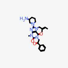 C/C=C(\C)Cn1c(N2CCCC(N)C2)nc2c1c(=O)n(CC(=O)c1ccccc1)c(=O)n2C